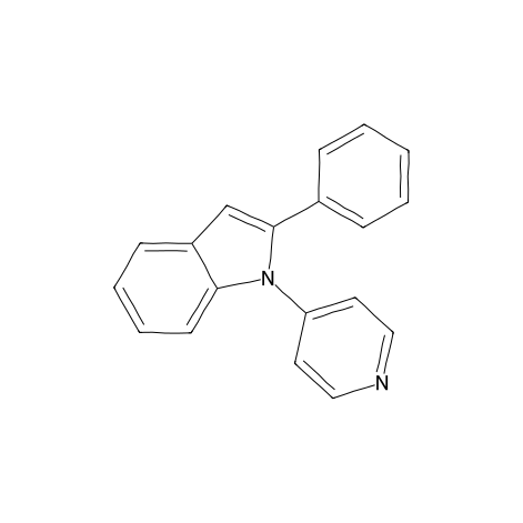 c1ccc(-c2cc3ccccc3n2-c2ccncc2)cc1